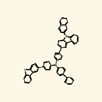 c1ccc(-c2ccc(N(c3ccc(-c4ccc5sc6ccccc6c5c4)cc3)c3ccc(-c4ccc5c(c4)c4ccccc4n5-c4ccc5ccccc5c4)cc3)cc2)cc1